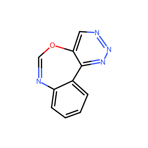 C1=Nc2ccccc2-c2nnncc2O1